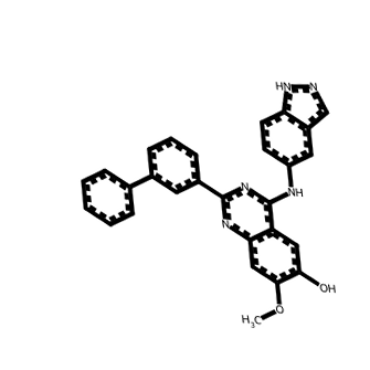 COc1cc2nc(-c3cccc(-c4ccccc4)c3)nc(Nc3ccc4[nH]ncc4c3)c2cc1O